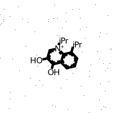 CC(C)c1cccc2c(O)c(O)c[n+](C(C)C)c12